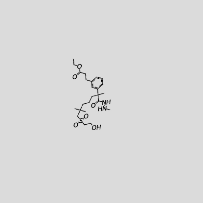 CCOC(=O)CCc1cccc(C(C)(CCCC(C)(C)CS(=O)(=O)CCO)C(=O)NNC)c1